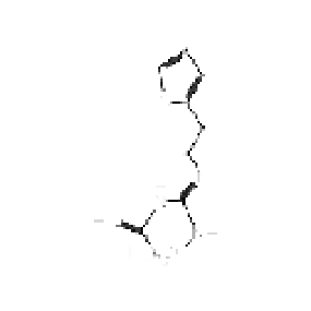 CCCCNC(=NCCc1cccs1)NC(=N)N